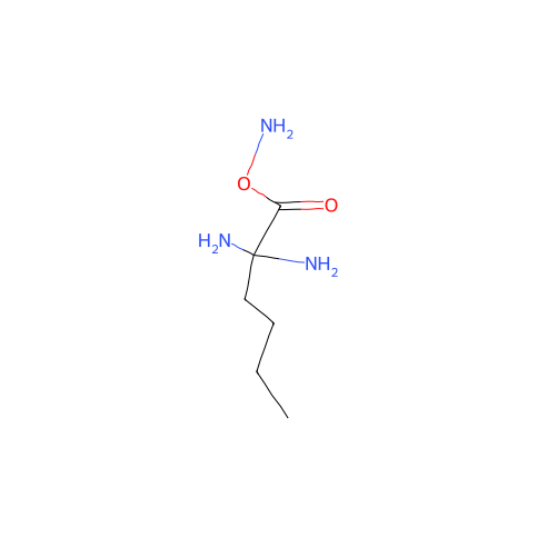 CCCCC(N)(N)C(=O)ON